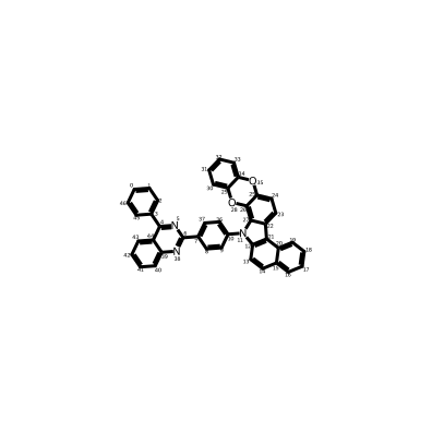 c1ccc(-c2nc(-c3ccc(-n4c5ccc6ccccc6c5c5ccc6c(c54)Oc4ccccc4O6)cc3)nc3ccccc23)cc1